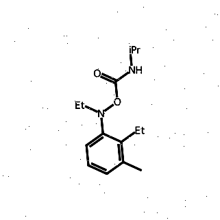 CCc1c(C)cccc1N(CC)OC(=O)NC(C)C